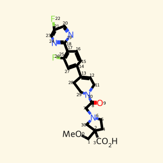 COCC1(C(=O)O)CCN(CC(=O)N2CC=C(c3ccc(-c4ncc(F)cn4)c(F)c3)CC2)C1